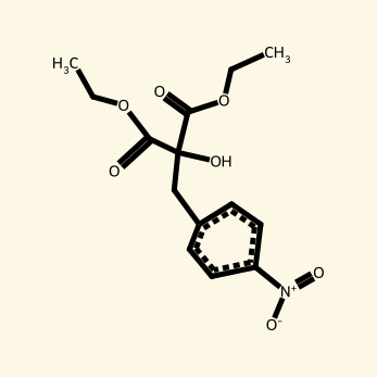 CCOC(=O)C(O)(Cc1ccc([N+](=O)[O-])cc1)C(=O)OCC